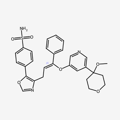 COC1(c2cncc(O/C(=C\Cc3ncoc3-c3ccc(S(N)(=O)=O)cc3)c3ccccc3)c2)CCOCC1